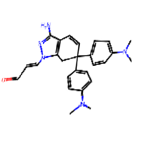 CN(C)c1ccc(C2(c3ccc(N(C)C)cc3)C=Cc3c(N)nn(C=CC=O)c3C2)cc1